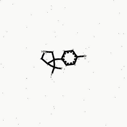 FC1(F)C2CNCC21c1ccc(Br)cc1